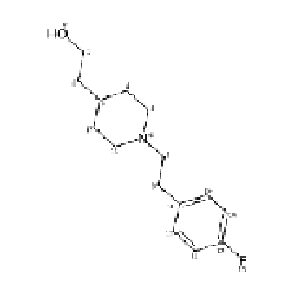 OCCC1CCN(CCc2ccc(F)cc2)CC1